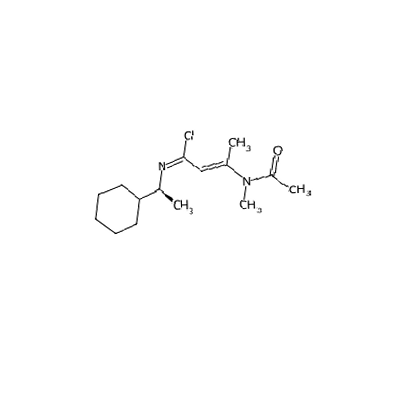 CC(=O)N(C)/C(C)=C/C(Cl)=N\[C@@H](C)C1CCCCC1